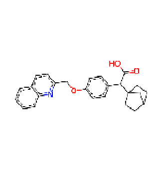 O=C(O)C(c1ccc(OCc2ccc3ccccc3n2)cc1)C12CCC(CC1)C2